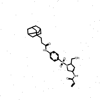 C=CC(=O)NC1CC(CO)N(S(=O)(=O)c2ccc(NC(=O)CCC34CC5CC(CC(C5)C3)C4)cc2)C1